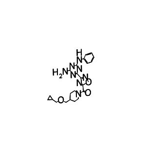 Nc1nc(Nc2ccccc2)nc(-c2noc(C(=O)N3CCC(COCC4CC4)CC3)n2)n1